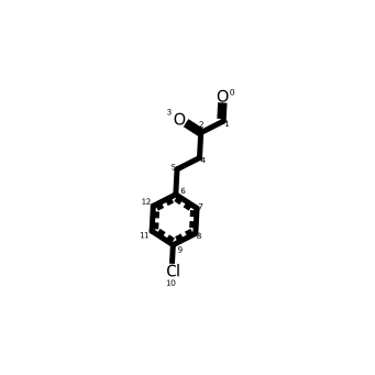 O=CC(=O)CCc1ccc(Cl)cc1